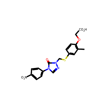 Cc1cc(SCn2ncn(-c3ccc([N+](=O)[O-])cc3)c2=O)ccc1OCC(=O)O